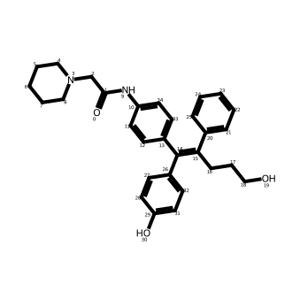 O=C(CN1CCCCC1)Nc1ccc(C(=C(CCCO)c2ccccc2)c2ccc(O)cc2)cc1